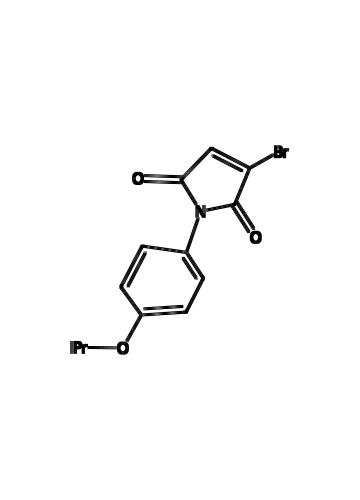 CC(C)Oc1ccc(N2C(=O)C=C(Br)C2=O)cc1